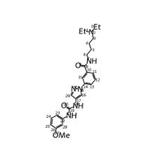 CCN(CC)CCCCNC(=O)c1cccc(-n2cc(NC(=O)Nc3cccc(OC)c3)cn2)c1